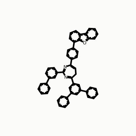 C1=C(c2ccc(-c3cccc4c3oc3ccccc34)cc2)N=C(c2cccc(-c3ccccc3)c2)N=C(c2cc(-c3ccccc3)cc(-c3ccccc3)c2)C1